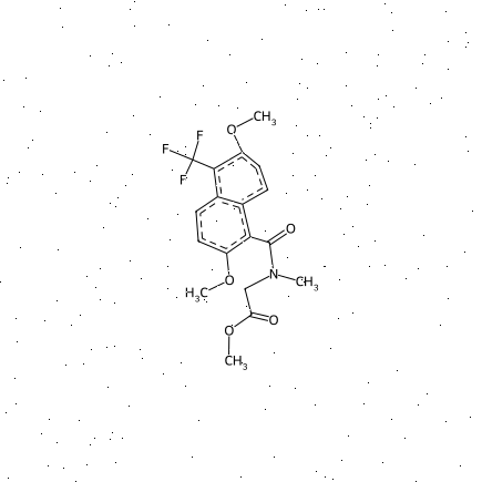 COC(=O)CN(C)C(=O)c1c(OC)ccc2c(C(F)(F)F)c(OC)ccc12